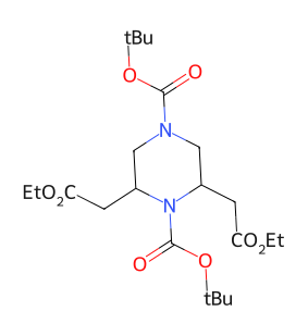 CCOC(=O)CC1CN(C(=O)OC(C)(C)C)CC(CC(=O)OCC)N1C(=O)OC(C)(C)C